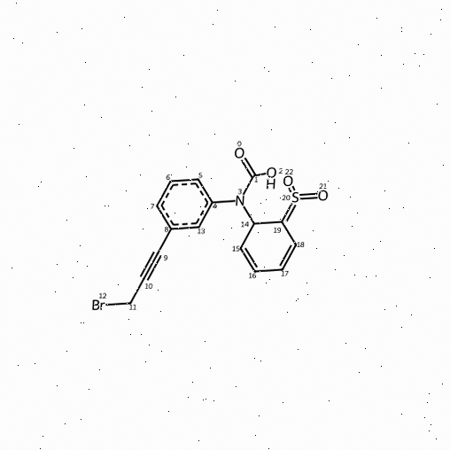 O=C(O)N(c1cccc(C#CCBr)c1)C1C=CC=CC1=S(=O)=O